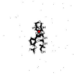 CC(C)(CO)NC(=O)Nc1nc2c(s1)[C@@H]1COC[C@H](C2)N1c1ncc(-c2cccc(OC(F)F)c2)o1